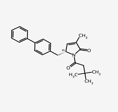 CC1=C[C@@H](Cc2ccc(-c3ccccc3)cc2)N(C(=O)CC(C)(C)C)C1=O